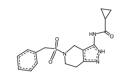 O=C(Nc1[nH]nc2c1CN(S(=O)(=O)Cc1ccccc1)CC2)C1CC1